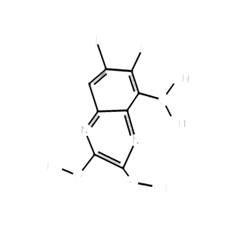 COc1nc2cc(Cl)c(Cl)c(B(O)O)c2nc1OC